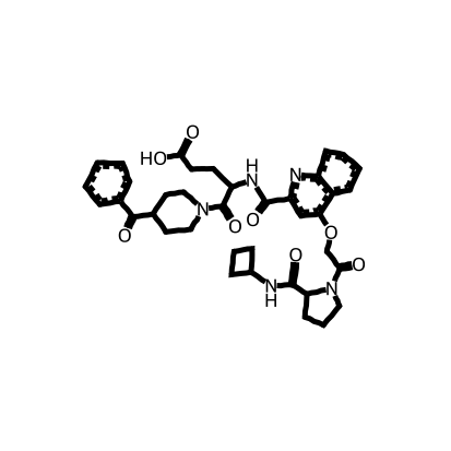 O=C(O)CCC(NC(=O)c1cc(OCC(=O)N2CCCC2C(=O)NC2CCC2)c2ccccc2n1)C(=O)N1CCC(C(=O)c2ccccc2)CC1